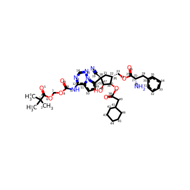 CC(C)(C)C(=O)OCOC(=O)Nc1ncnn2c([C@]3(C#N)C[C@H](COC(=O)[C@@H](N)Cc4ccccc4)[C@@H](OC(=O)CC4CCCCC4)[C@H]3O)ccc12